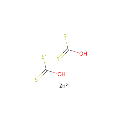 OC(=S)[S-].OC(=S)[S-].[Zn+2]